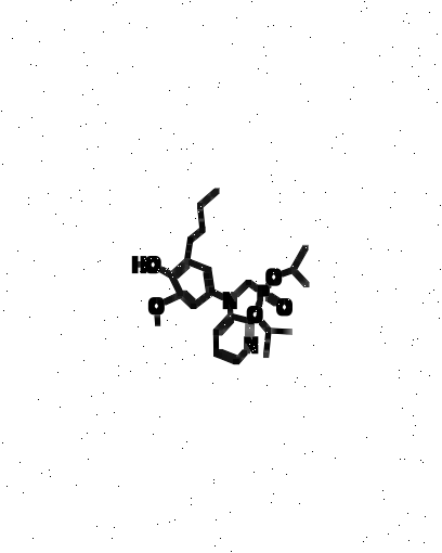 CCCCc1cc(N(CP(=O)(OC(C)C)OC(C)C)c2cccnc2)cc(OC)c1O